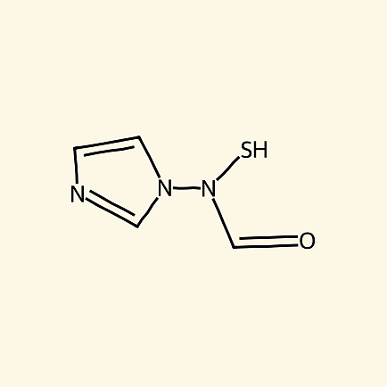 O=CN(S)n1ccnc1